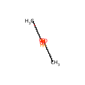 CCCCCCCCCCCCCCCCCCO[PH](=O)O[PH](=O)OCCCCCCCCCCCCCCCCCC